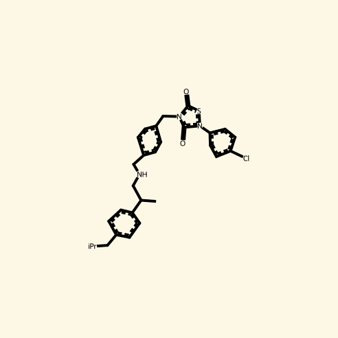 CC(C)Cc1ccc(C(C)CNCc2ccc(Cn3c(=O)sn(-c4ccc(Cl)cc4)c3=O)cc2)cc1